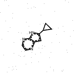 c1cnc2[nH]c(C3CC3)cc2n1